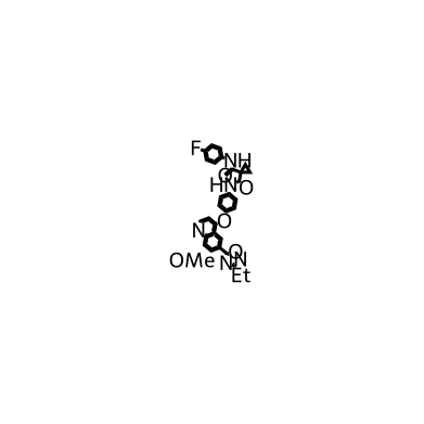 CCc1noc(-c2cc3c(Oc4ccc(NC(=O)C5(C(=O)Nc6ccc(F)cc6)CC5)cc4)ccnc3cc2OC)n1